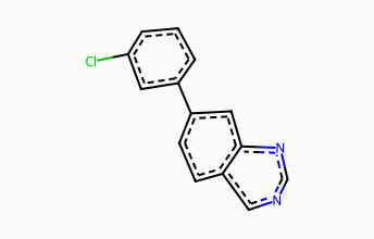 Clc1cccc(-c2ccc3cncnc3c2)c1